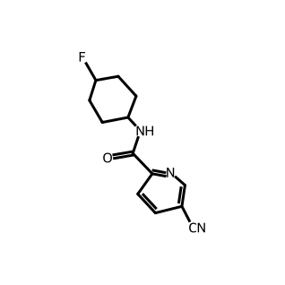 N#Cc1ccc(C(=O)NC2CCC(F)CC2)nc1